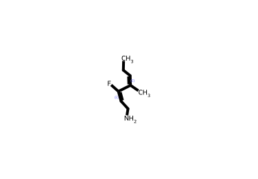 CC/C=C(C)\C(F)=C/CN